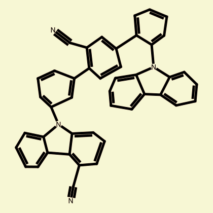 N#Cc1cc(-c2ccccc2-n2c3ccccc3c3ccccc32)ccc1-c1cccc(-n2c3ccccc3c3c(C#N)cccc32)c1